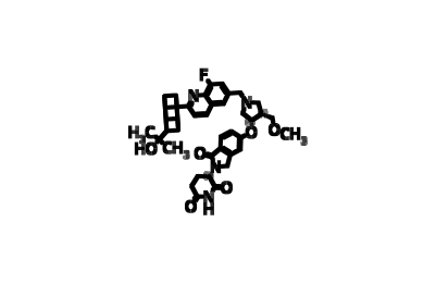 COC[C@@H]1CN(Cc2cc(F)c3nc(C45C6C7C4C4C5C6C74C(C)(C)O)ccc3c2)C[C@H]1Oc1ccc2c(c1)CN([C@H]1CCC(=O)NC1=O)C2=O